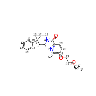 Cc1nc(C(=O)N2CCC3(c4ccccc4)CC3C2)ccc1OCCOC(F)(F)F